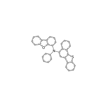 c1ccc(N(c2cc3c4ccccc4sc3c3ccccc23)c2cccc3c2oc2ccccc23)cc1